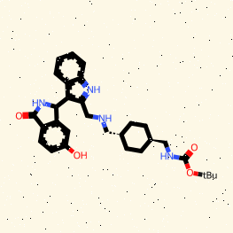 CC(C)(C)OC(=O)NC[C@H]1CC[C@H](CNCc2[nH]c3ccccc3c2C2NC(=O)c3ccc(O)cc32)CC1